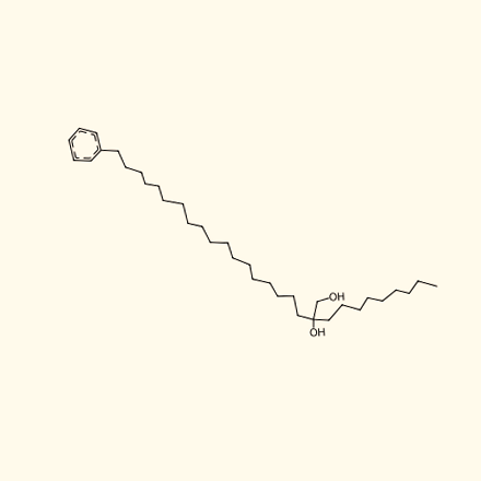 CCCCCCCCCC(O)(CO)CCCCCCCCCCCCCCCCCCc1ccccc1